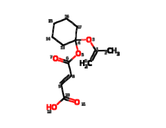 C=C(C)OC1(OC(=O)C=CC(=O)O)CCCCC1